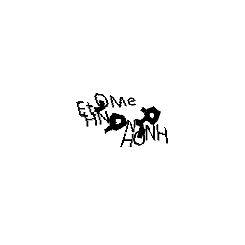 CCC(COC)Nc1ccc(NC=C2C(=O)Nc3cccc(C)c32)cc1C